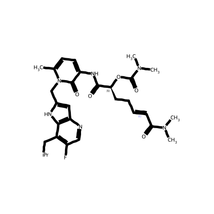 Cc1ccc(NC(=O)[C@H](CC/C=C/C(=O)N(C)C)OC(=O)N(C)C)c(=O)n1Cc1cc2ncc(F)c(CC(C)C)c2[nH]1